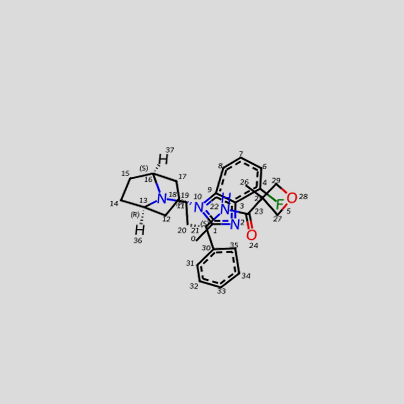 Cc1nc2c(F)cccc2n1[C@@H]1C[C@H]2CC[C@@H](C1)N2CC[C@H](NC(=O)C1(C)COC1)c1ccccc1